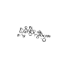 CCCC[C@H](C(=O)N1C(=O)C=C(OC)[C@@H]1Cc1ccccc1)C(C)C(=O)[C@H]1CCCN1C(=O)[C@@H](C(C)C)N(C)C(=O)[C@H](NC(=O)[C@@H](C(C)C)N(C)C)C(C)C